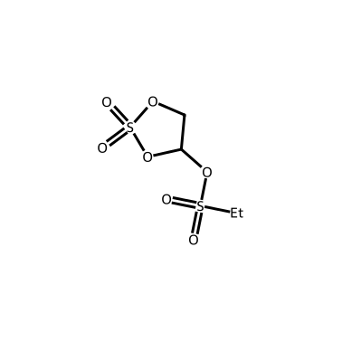 CCS(=O)(=O)OC1COS(=O)(=O)O1